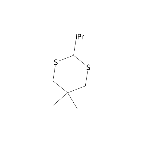 CC(C)C1SCC(C)(C)CS1